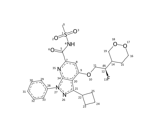 CS(=O)(=O)NC(=O)c1cc(OC[C@H](F)C2CCOOC2)c2c(C3CCC3)nn(-c3ccccc3)c2n1